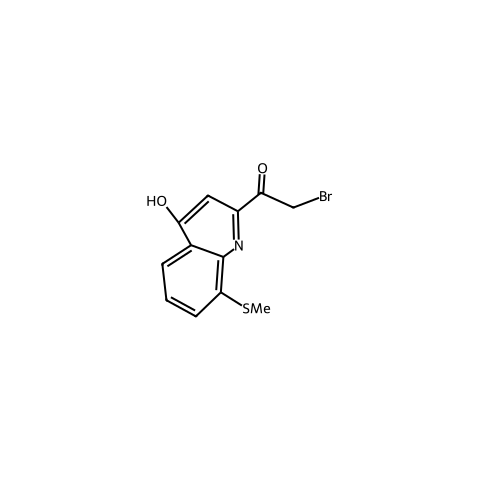 CSc1cccc2c(O)cc(C(=O)CBr)nc12